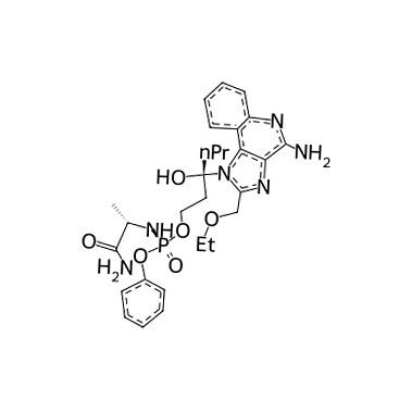 CCC[C@](O)(CCO[P@@](=O)(N[C@@H](C)C(N)=O)Oc1ccccc1)n1c(COCC)nc2c(N)nc3ccccc3c21